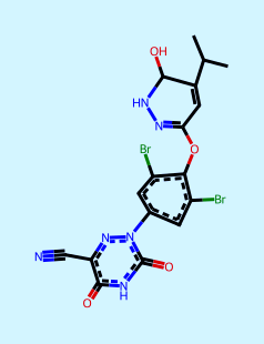 CC(C)C1=CC(Oc2c(Br)cc(-n3nc(C#N)c(=O)[nH]c3=O)cc2Br)=NNC1O